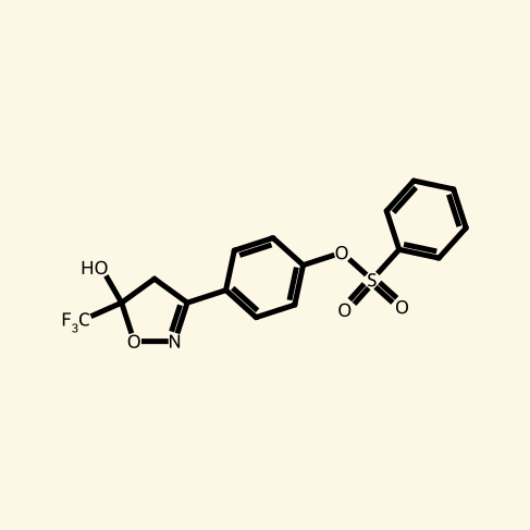 O=S(=O)(Oc1ccc(C2=NOC(O)(C(F)(F)F)C2)cc1)c1ccccc1